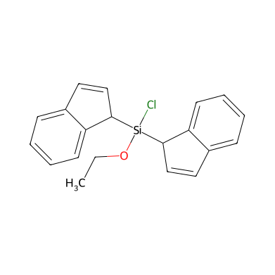 CCO[Si](Cl)(C1C=Cc2ccccc21)C1C=Cc2ccccc21